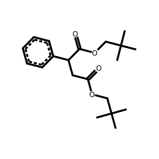 CC(C)(C)COC(=O)CC(C(=O)OCC(C)(C)C)c1ccccc1